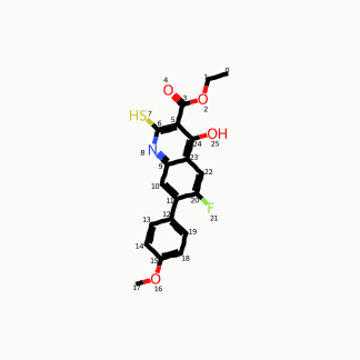 CCOC(=O)c1c(S)nc2cc(-c3ccc(OC)cc3)c(F)cc2c1O